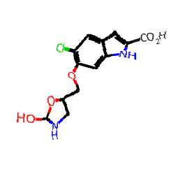 O=C(O)c1cc2cc(Cl)c(OCC3CNC(O)O3)cc2[nH]1